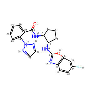 O=C(N[C@H]1CCC[C@H]1Nc1nc2ccc(F)cc2o1)c1ccccc1-n1nccn1